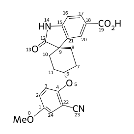 COc1ccc(O[C@H]2CC[C@@]3(CC2)C(=O)Nc2ccc(C(=O)O)cc23)c(C#N)c1